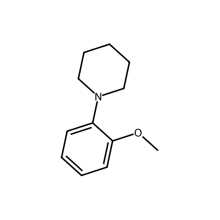 COc1ccccc1N1CCCCC1